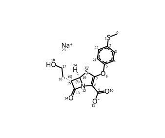 CSc1ccc(OC2=C(C(=O)[O-])N3C(=O)[C@H](CCO)[C@H]3S2)cc1.[Na+]